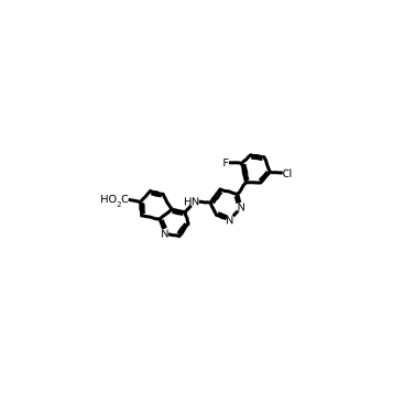 O=C(O)c1ccc2c(Nc3cnnc(-c4cc(Cl)ccc4F)c3)ccnc2c1